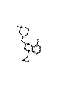 C[C@H]1CCCN(Cc2cc(C3CC3)c3occc(=O)c3c2)C1